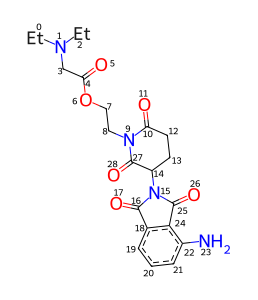 CCN(CC)CC(=O)OCCN1C(=O)CCC(N2C(=O)c3cccc(N)c3C2=O)C1=O